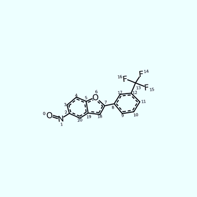 O=Nc1ccc2oc(-c3cccc(C(F)(F)F)c3)cc2c1